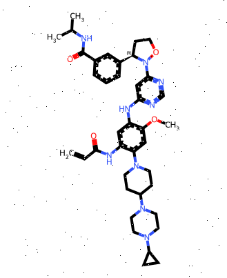 C=CC(=O)Nc1cc(Nc2cc(N3OCC[C@@H]3c3cccc(C(=O)NC(C)C)c3)ncn2)c(OC)cc1N1CCC(N2CCN(C3CC3)CC2)CC1